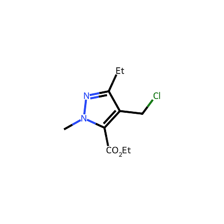 CCOC(=O)c1c(CCl)c(CC)nn1C